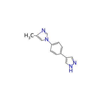 Cc1cn(-c2ccc(-c3cn[nH]c3)cc2)cn1